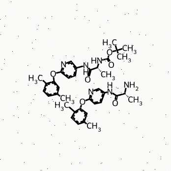 Cc1ccc(C)c(Oc2ccc(NC(=O)[C@@H](C)N)cn2)c1.Cc1ccc(C)c(Oc2ccc(NC(=O)[C@@H](C)NC(=O)OC(C)(C)C)cn2)c1